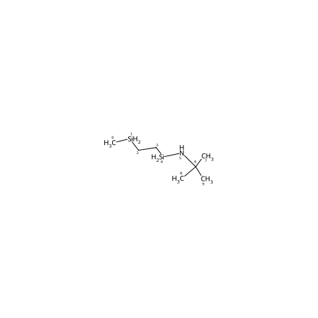 C[SiH2]CC[SiH2]NC(C)(C)C